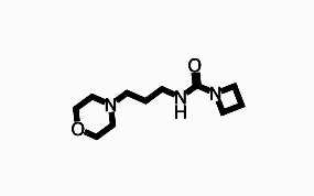 O=C(NCCCN1CCOCC1)N1CCC1